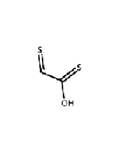 OC(=S)C=S